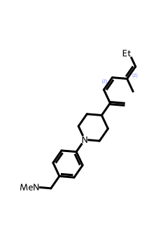 C=C(/C=C\C(C)=C/CC)C1CCN(c2ccc(CNC)cc2)CC1